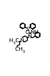 CCCC(C)N1CCC(N(Cc2ccccc2)C(=O)Nc2ccccc2Sc2ccccc2)CC1